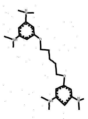 C[SiH](C)c1cc(OCCCCCOc2cc([SiH](C)C)cc([SiH](C)C)c2)cc([SiH](C)C)c1